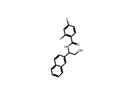 O=C(NC(CO)c1ccc2ccccc2c1)c1ccc(F)cc1F